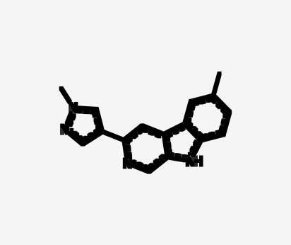 Cc1ccc2[nH]c3cnc(-c4cnn(C)c4)cc3c2c1